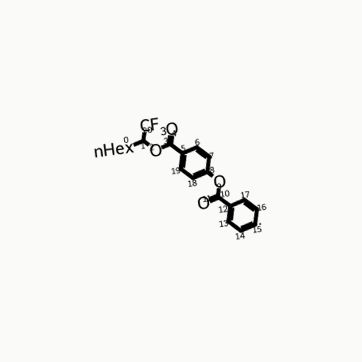 CCCCCCC(OC(=O)c1ccc(OC(=O)c2cc[c]cc2)cc1)C(F)(F)F